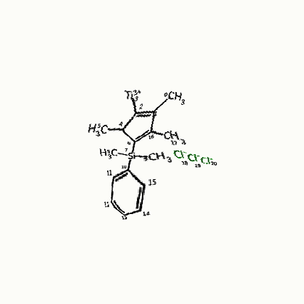 CC1=[C]([Ti+3])C(C)C([Si](C)(C)c2ccccc2)=C1C.[Cl-].[Cl-].[Cl-]